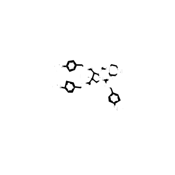 O=C(OCc1ccc([N+](=O)[O-])cc1)C1[C@@H](C(=O)N2CCNCC2)N(C(=O)OCc2ccc([N+](=O)[O-])cc2)C[C@]1(S)C(=O)OCc1ccc([N+](=O)[O-])cc1